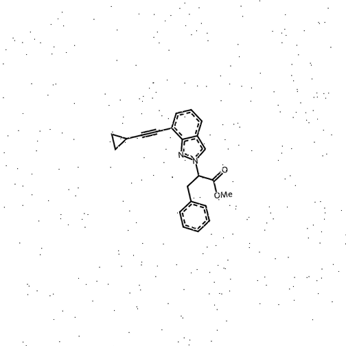 COC(=O)C(Cc1ccccc1)n1cc2cccc(C#CC3CC3)c2n1